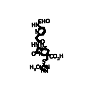 Cn1nnnc1SCC1(C(=O)O)CS[C@@H]2C(NC(=O)Cc3cccc(NC=O)n3)C(=O)N2C1